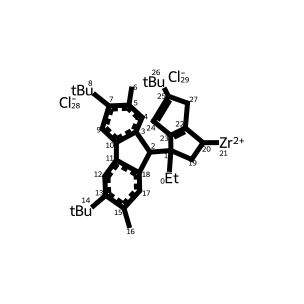 CCC1(C2c3cc(C)c(C(C)(C)C)cc3-c3cc(C(C)(C)C)c(C)cc32)C[CH]([Zr+2])C2=C1C=C(C(C)(C)C)C2.[Cl-].[Cl-]